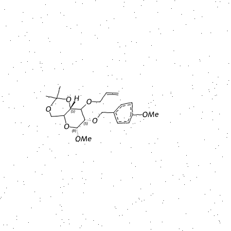 C=CCOC1[C@H]2OC(C)(C)OCC2O[C@@H](OC)[C@H]1OCc1ccc(OC)cc1